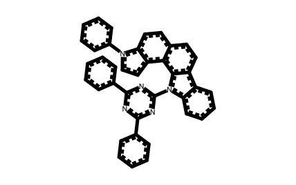 c1ccc(-c2nc(-c3ccccc3)nc(-n3c4ccccc4c4ccc5ccc6c(ccn6-c6ccccc6)c5c43)n2)cc1